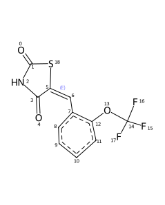 O=C1NC(=O)/C(=C\c2ccccc2OC(F)(F)F)S1